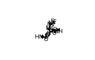 CC1(NS(=O)(=O)c2cc(N3CCN(C(=O)C4CNC4)CC3)c3cnc(-c4nnc(C(F)(F)F)s4)n3c2)CC1